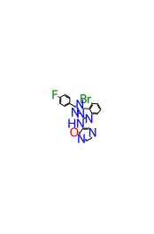 O=c1nccncc1Nc1nc2cccc(Br)c2c2nc(-c3ccc(F)cc3)nn12